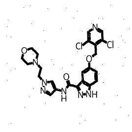 O=C(Nc1cnn(CCN2CCOCC2)c1)c1n[nH]c2ccc(OCc3c(Cl)cncc3Cl)cc12